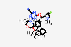 C[C@H](Oc1nc(C#N)nc(N2CC(C)(O[Si](c3ccccc3)(c3ccccc3)C(C)(C)C)COCC2(C)C)n1)[C@@H]1C[C@@H](F)CN1C